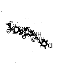 O=C(NCc1ccc(Cl)cc1)Nc1cc2c(=O)n(CC3(O)CCN(C(=O)C4CC4)CC3)cnn2c1